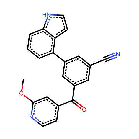 COc1cc(C(=O)c2cc(C#N)cc(-c3cccc4[nH]ccc34)c2)ccn1